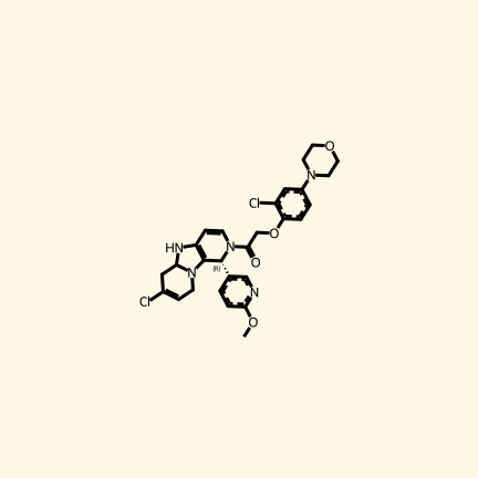 COc1ccc([C@@H]2C3=C(C=CN2C(=O)COc2ccc(N4CCOCC4)cc2Cl)NC2CC(Cl)=CCN32)cn1